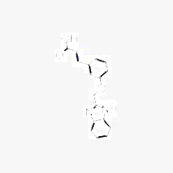 O=C(O)/C=C/c1cccc(OCc2nc3ccccc3[nH]2)c1